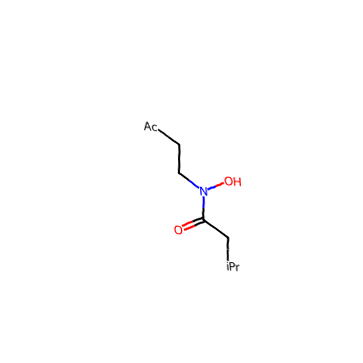 CC(=O)CCN(O)C(=O)CC(C)C